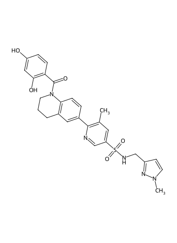 Cc1cc(S(=O)(=O)NCc2ccn(C)n2)cnc1-c1ccc2c(c1)CCCN2C(=O)c1ccc(O)cc1O